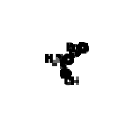 Nc1cc(OCc2ccccc2Br)ccc1Sc1ccc(O)cc1